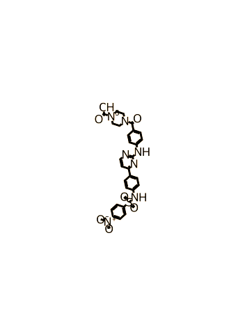 CC(=O)N1CCN(C(=O)c2ccc(Nc3nccc(-c4ccc(NS(=O)(=O)c5ccc([N+](=O)[O-])cc5)cc4)n3)cc2)CC1